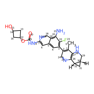 Cc1c(-c2cc3cc(NC(=O)OC4CC(O)C4)ncc3c(N)c2F)cnc2c1NC[C@@H]1C[C@H]21